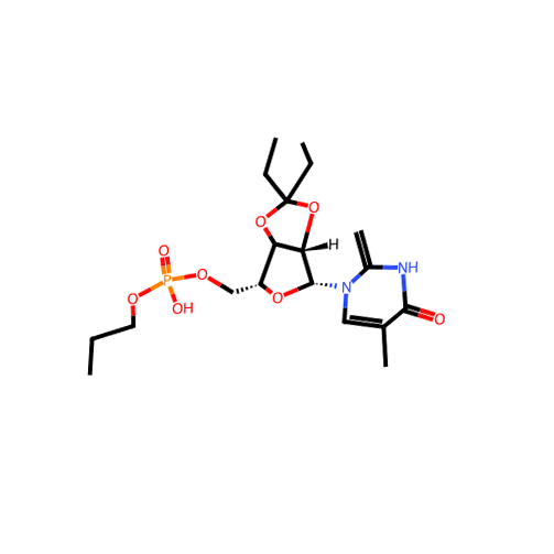 C=C1NC(=O)C(C)=CN1[C@@H]1O[C@H](COP(=O)(O)OCCC)C2OC(CC)(CC)O[C@@H]21